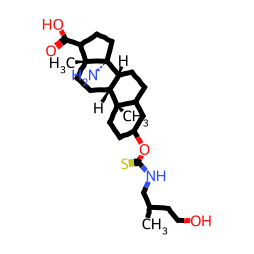 CC(CCO)CNC(=S)OC1CC[C@@]2(C)C(CC[C@@H]3[C@H]2CC[C@]2(C)C(C(=O)O)CC[C@@]32N)C1